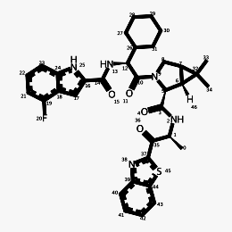 C[C@H](NC(=O)[C@@H]1[C@@H]2C(CN1C(=O)[C@@H](NC(=O)c1cc3c(F)cccc3[nH]1)C1CCCCC1)C2(C)C)C(=O)c1nc2ccccc2s1